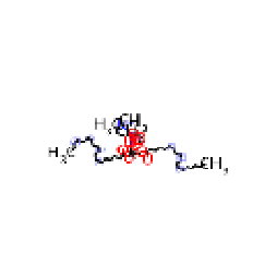 CC/C=C\C/C=C\C/C=C\C/C=C\CCCCC(=O)O[C@H](COC(=O)CCCC/C=C\C/C=C\C/C=C\CCCCC)COP(=O)([O-])OCC[N+](C)(C)C